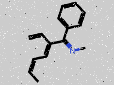 C=CC(=C\C=C/C)/C(=N/C)c1ccccc1